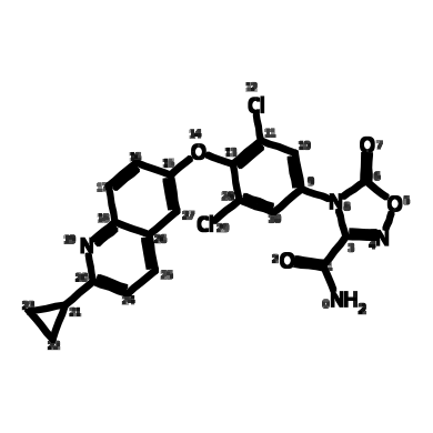 NC(=O)c1noc(=O)n1-c1cc(Cl)c(Oc2ccc3nc(C4CC4)ccc3c2)c(Cl)c1